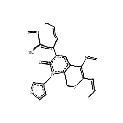 C=NC1=C(/C=C\C)OCc2c1cc(C(/C=C\C)=C(\C#N)N=C)c(=O)n2-c1ccsc1